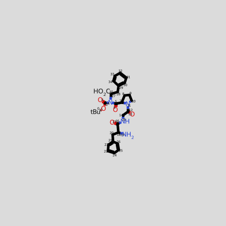 CC(C)(C)OC(=O)N(C(=O)C1CCCN1C(=O)CNC(=O)C(N)Cc1ccccc1)C(Cc1ccccc1)C(=O)O